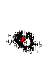 CC(C)C[C@@H]1NC(=O)[C@@H](Cc2ccccc2)NC(=O)[C@H](CCN)NC(=O)[C@@H](NC(=O)[C@H](CCN)NC(=O)[C@@H](NC(=O)[C@H](CCN)NC(=O)c2ccnc(OC(=O)c3cccc(Cl)c3)c2)C(C)O)CCNC(=O)[C@H]([C@H](C)O)NC(=O)[C@H](CCN)NC(=O)[C@H](CCN)NC1=O